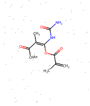 C=C(C)C(=O)OC(NC(N)=O)=C(C)C(=O)OC